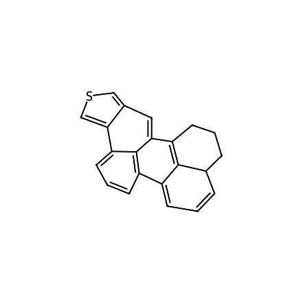 C1=CC2CCCc3c2c(c2cccc4c5cscc5cc3c24)=C1